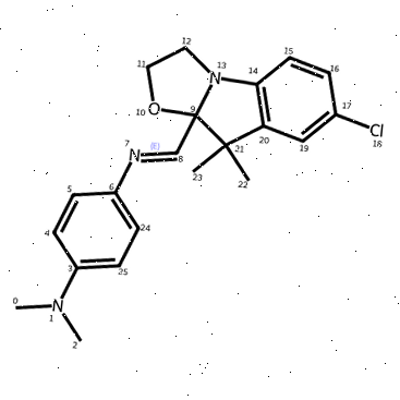 CN(C)c1ccc(/N=C/C23OCCN2c2ccc(Cl)cc2C3(C)C)cc1